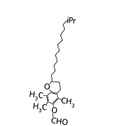 Cc1c(C)c2c(c(C)c1OCC=O)CCC(CCCCCCCCCCCC(C)C)O2